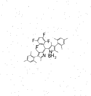 Bn1c(C)c(-c2c(C)cc(C)cc2C)c(C)c1/C(=C1\N=C(C)C(c2c(C)cc(C)cc2C)=C1C)c1c(F)c(F)cc(F)c1F